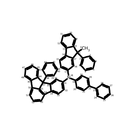 CC1(c2ccccc2)c2ccccc2-c2ccc(N(c3ccc(-c4ccccc4)cc3)c3ccc4c(c3)C3(c5ccccc5)c5ccccc5-c5cccc-4c53)cc21